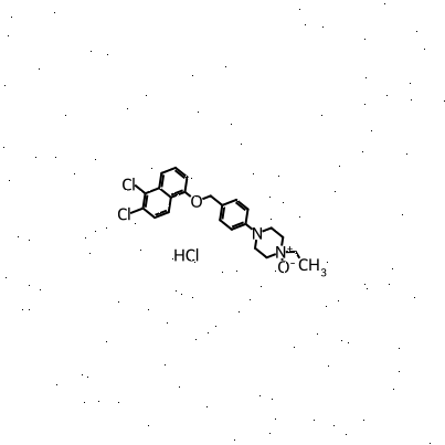 CC[N+]1([O-])CCN(c2ccc(COc3cccc4c(Cl)c(Cl)ccc34)cc2)CC1.Cl